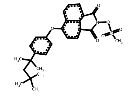 CC(C)(C)CC(C)(C)c1ccc(Oc2ccc3c4c(cccc24)C(=O)N(OS(C)(=O)=O)C3=O)cc1